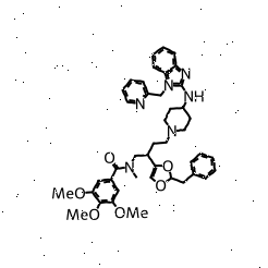 COc1cc(C(=O)N(C)CC(CCN2CCC(Nc3nc4ccccc4n3Cc3ccccn3)CC2)C2=COC(Cc3ccccc3)O2)cc(OC)c1OC